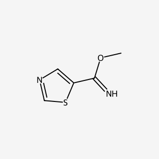 COC(=N)c1cncs1